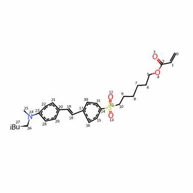 C=CC(=O)OCCCCCCS(=O)(=O)c1ccc(C=Cc2ccc(N(C)C[C@H](C)CC)cc2)cc1